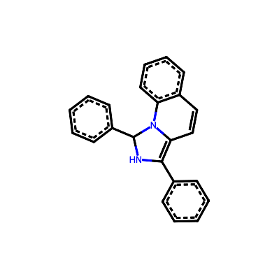 C1=Cc2ccccc2N2C1=C(c1ccccc1)NC2c1ccccc1